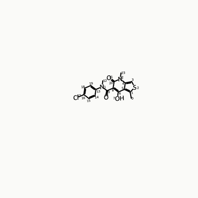 Cc1scc2c1c(O)c(C(=O)N(C)c1ccc(Cl)cc1)c(=O)n2C